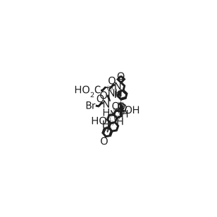 C[C@]12C=CC(=O)C=C1CCC1[C@@H]2[C@@H](O)C[C@@]2(C)[C@H]1C[C@H]1O[C@@H](c3ccc(CC4(NC(=O)[C@H](CCC(=O)O)NC(=O)CNC(=O)CBr)COC4)cc3)O[C@]12C(=O)CO